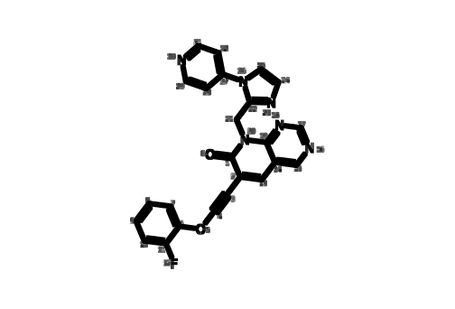 O=c1c(C#COc2ccccc2F)cc2cncnc2n1Cc1nccn1-c1ccncc1